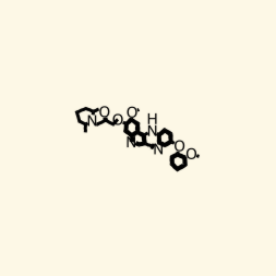 COc1cc2c(Nc3ccc(Oc4ccccc4OC)cc3)c(C#N)cnc2cc1OCC(=O)CN1C(C)CCCC1C